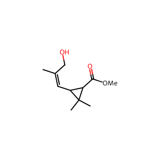 COC(=O)C1C(C=C(C)CO)C1(C)C